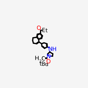 C=C(OC(C)(C)C)N1CCC(NC2=CCC(C3=CCCCc4cc(C(=O)CC)ccc43)C=C2)C1